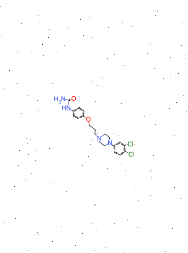 NC(=O)Nc1ccc(OCCCN2CCN(c3ccc(Cl)c(Cl)c3)CC2)cc1